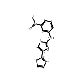 O=[N+]([O-])c1cccc(Nc2nc(-c3nccs3)cs2)c1